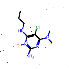 CCCNc1c(Cl)c(N(C)C)nc(N)[n+]1[O-]